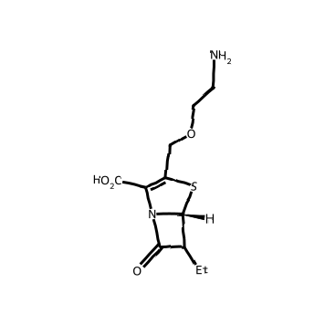 CCC1C(=O)N2C(C(=O)O)=C(COCCN)S[C@H]12